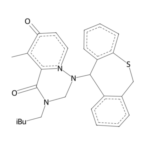 CCC(C)CN1CN(C2c3ccccc3CSc3ccccc32)n2ccc(=O)c(C)c2C1=O